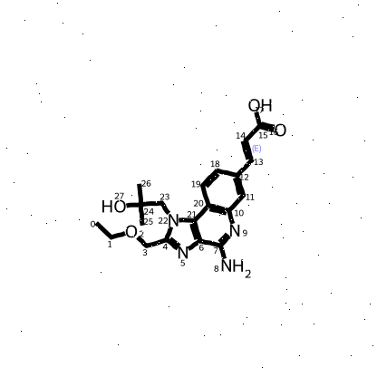 CCOCc1nc2c(N)nc3cc(/C=C/C(=O)O)ccc3c2n1CC(C)(C)O